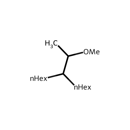 CCCCCCC(CCCCCC)C(C)OC